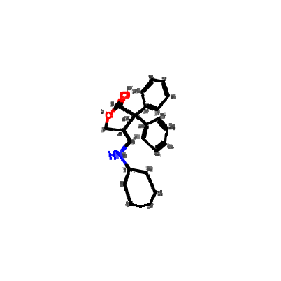 O=C1OCC(CNC2CCCCC2)C1(c1ccccc1)c1ccccc1